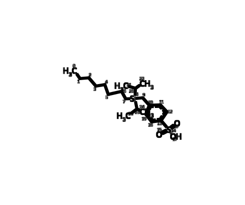 CCCCCCCC[Si](Cc1ccc(S(=O)(=O)O)cc1)(C(C)C)C(C)C